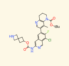 Cc1c(-c2cc3cc(NC(=O)OC4CC5(CNC5)C4)ncc3c(Cl)c2F)cnc2c1N(C(=O)OC(C)(C)C)CCC2